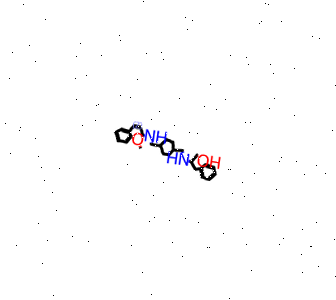 COc1ccccc1/C=C\CNCC1CCC(CNC(CO)Cc2ccccc2)CC1